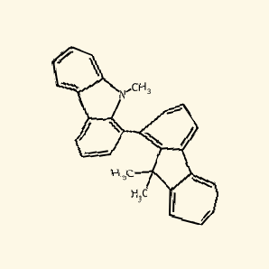 Cn1c2ccccc2c2cccc(-c3cccc4c3C(C)(C)c3ccccc3-4)c21